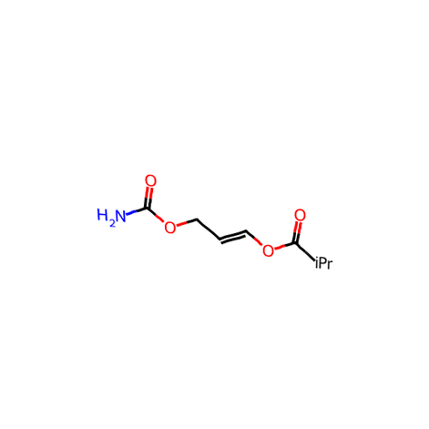 CC(C)C(=O)OC=CCOC(N)=O